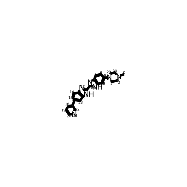 CN1CCN(c2ccc3nc(-c4nc5ccc(-c6cccnc6)cc5[nH]4)[nH]c3c2)CC1